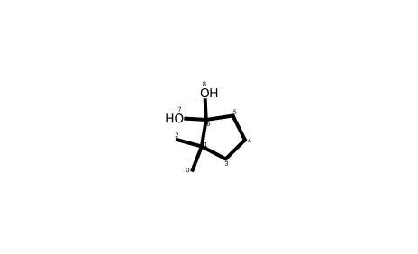 CC1(C)CCCC1(O)O